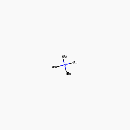 CCC(C)[N+](C(C)CC)(C(C)CC)C(C)CC